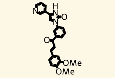 COc1ccc(C=CC(=O)c2cccc(-n3cc(-c4cccnc4)[nH]c3=O)c2)cc1OC